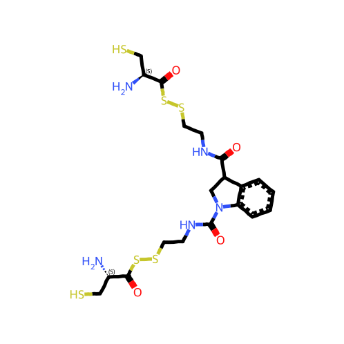 N[C@@H](CS)C(=O)SSCCNC(=O)C1CN(C(=O)NCCSSC(=O)[C@@H](N)CS)c2ccccc21